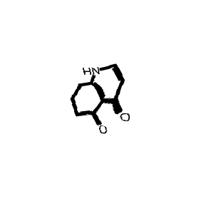 O=C1CCCc2[nH]ccc(=O)c21